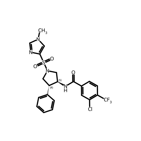 Cn1cnc(S(=O)(=O)N2C[C@@H](NC(=O)c3ccc(C(F)(F)F)c(Cl)c3)[C@H](c3ccccc3)C2)c1